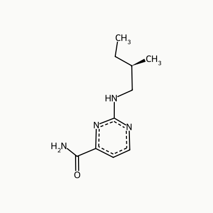 CC[C@@H](C)CNc1nccc(C(N)=O)n1